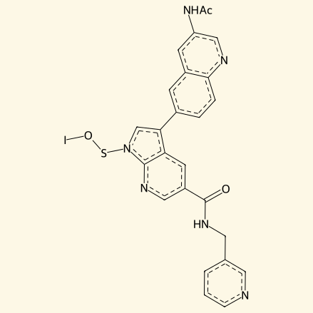 CC(=O)Nc1cnc2ccc(-c3cn(SOI)c4ncc(C(=O)NCc5cccnc5)cc34)cc2c1